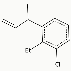 C=C[C](C)c1cccc(Cl)c1CC